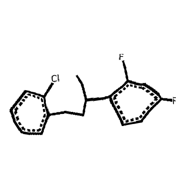 CC(Cc1ccccc1Cl)c1ccc(F)cc1F